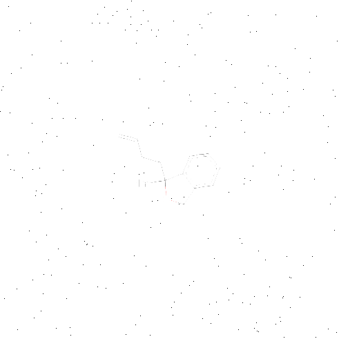 C=CCCC1(CCC)OCc2ccccc21